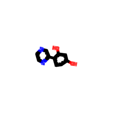 Oc1ccc(-c2cnccn2)c(O)c1